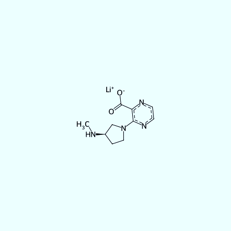 CN[C@@H]1CCN(c2nccnc2C(=O)[O-])C1.[Li+]